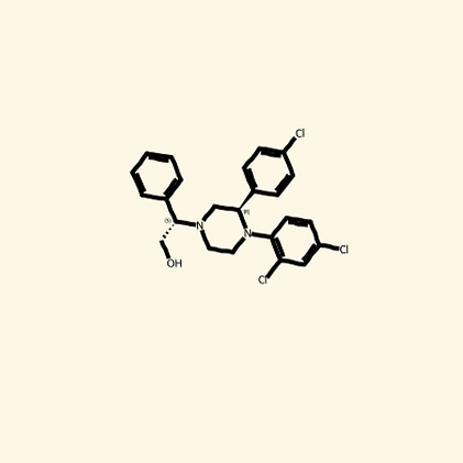 OC[C@H](c1ccccc1)N1CCN(c2ccc(Cl)cc2Cl)[C@H](c2ccc(Cl)cc2)C1